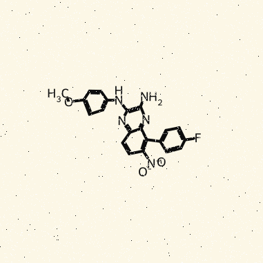 COc1ccc(Nc2nc3ccc([N+](=O)[O-])c(-c4ccc(F)cc4)c3nc2N)cc1